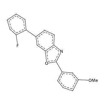 COc1cccc(-c2nc3ccc(-c4ccccc4F)cc3o2)c1